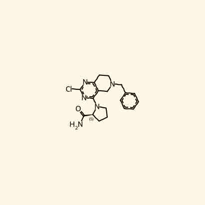 NC(=O)[C@@H]1CCCN1c1nc(Cl)nc2c1CN(Cc1ccccc1)CC2